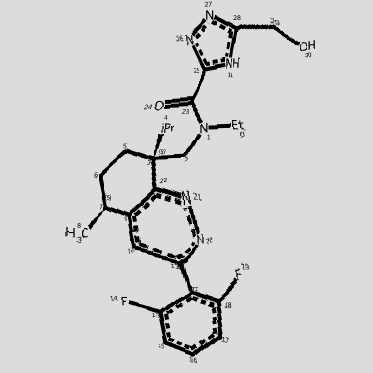 CCN(C[C@@]1(C(C)C)CC[C@H](C)c2cc(-c3c(F)cccc3F)nnc21)C(=O)c1nnc(CO)[nH]1